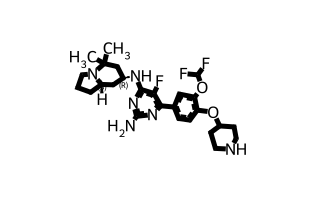 CC1(C)C[C@H](Nc2nc(N)nc(-c3ccc(OC4CCNCC4)c(OC(F)F)c3)c2F)C[C@@H]2CCCN21